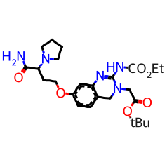 CCOC(=O)NC1=Nc2cc(OCCC(C(N)=O)N3CCCC3)ccc2CN1CC(=O)OC(C)(C)C